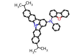 CC(C)c1ccc2cc3c(cc2c1)c1cc(N(c2ccccc2)c2cccc4c2oc2ccccc24)cc2c4cc5cc(C(C)C)ccc5cc4n3c12